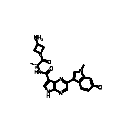 C[C@@H](NC(=O)c1c[nH]c2ncc(-c3cn(C)c4cc(Cl)ccc34)nc12)C(=O)N1CC(N)C1